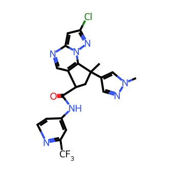 Cn1cc(C2(C)CC(C(=O)Nc3ccnc(C(F)(F)F)c3)c3cnc4cc(Cl)nn4c32)cn1